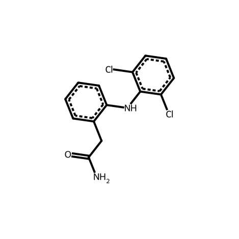 NC(=O)Cc1ccccc1Nc1c(Cl)cccc1Cl